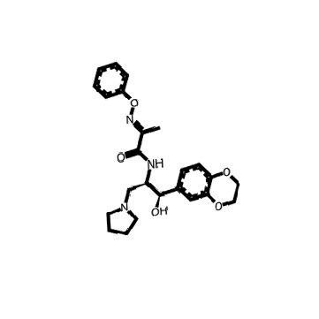 C/C(=N\Oc1ccccc1)C(=O)N[C@H](CN1CCCC1)[C@H](O)c1ccc2c(c1)OCCO2